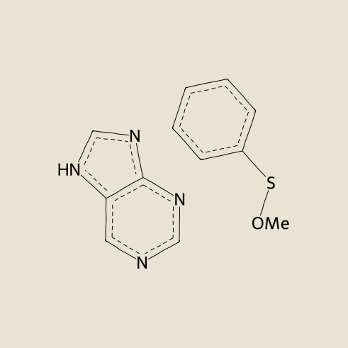 COSc1ccccc1.c1ncc2[nH]cnc2n1